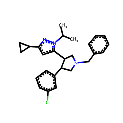 CC(C)n1nc(C2CC2)cc1C1CN(Cc2ccccc2)CC1c1cccc(Cl)c1